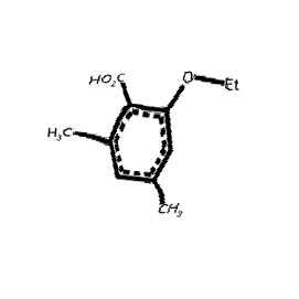 CCOc1cc(C)cc(C)c1C(=O)O